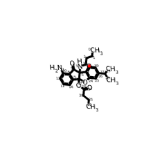 CCCC(=O)NC12C(=O)c3c(N)cccc3C1(OC(=O)CCC)Oc1cc(C(C)C)ccc12